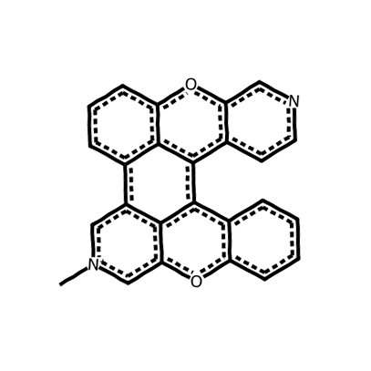 C[n+]1cc2oc3ccccc3c3c2c(c1)c1cccc2oc4cnccc4c3c21